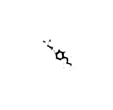 C=C(CC)C(=O)c1ccc(OCCN(CC)CC)c(Cl)c1Cl